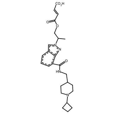 CC(COC(=O)/C=C/C(=O)O)n1cc2cccc(C(=O)NCC3CCN(C4CCC4)CC3)c2n1